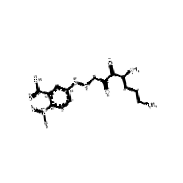 CCCCC(C)C(=O)C(=O)CSSc1ccc([N+](=O)[O-])c(C(=O)O)c1